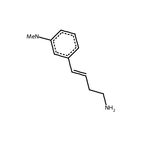 CNc1cccc(/C=C/CCN)c1